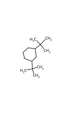 CC(C)(C)C1[CH]CCC(C(C)(C)C)C1